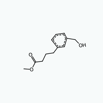 COC(=O)CCCc1cccc(CO)c1